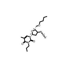 CCCCOC[C@H]1O[C@@H](n2cc(C)c(=O)n(CCC)c2=O)CC1N=[N+]=[N-]